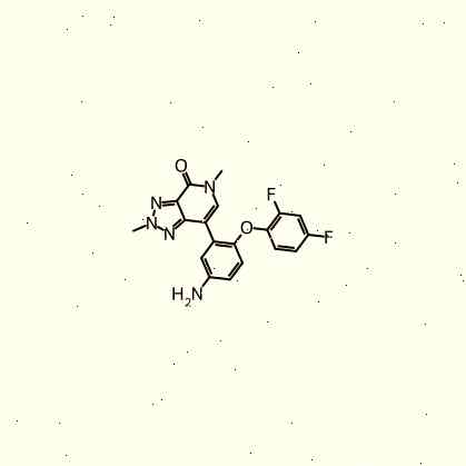 Cn1nc2c(-c3cc(N)ccc3Oc3ccc(F)cc3F)cn(C)c(=O)c2n1